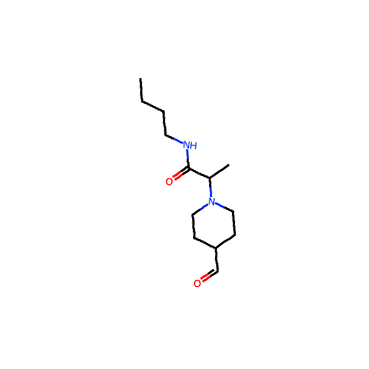 CCCCNC(=O)C(C)N1CCC(C=O)CC1